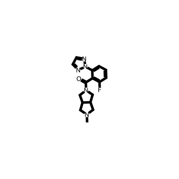 CN1CC2CN(C(=O)c3c(F)cccc3-n3nccn3)CC2C1